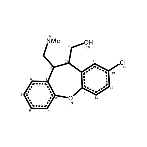 CNCC1c2ccccc2Oc2ccc(Cl)cc2C1CO